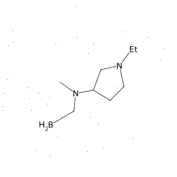 BCN(C)C1CCN(CC)C1